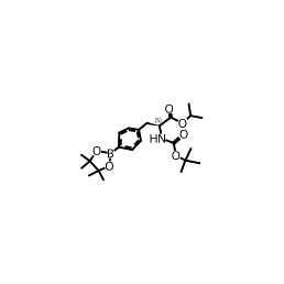 CC(C)OC(=O)[C@H](Cc1ccc(B2OC(C)(C)C(C)(C)O2)cc1)NC(=O)OC(C)(C)C